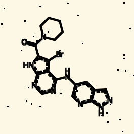 O=C(c1[nH]c2ncnc(Nc3cnc4[nH]ncc4c3)c2c1Br)N1CCCCC1